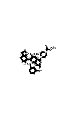 CC(C)c1cccc(C#N)c1-n1c(=O)nc(N2CCN(C(=O)OC(C)(C)C)C[C@@H]2C)c2cc(F)c(-c3c(F)ccc4ccoc34)nc21